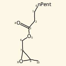 CCCCCCCC(=O)OCC1OC1C